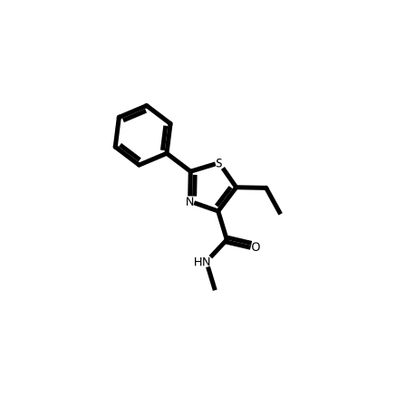 CCc1sc(-c2ccccc2)nc1C(=O)NC